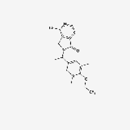 CC1=C(OCC(F)(F)F)N(C)CC(C(C)N2Cc3c(ccnc3Cl)C2=O)=C1